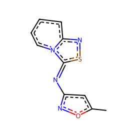 Cc1cc(/N=c2\snc3ccccn23)no1